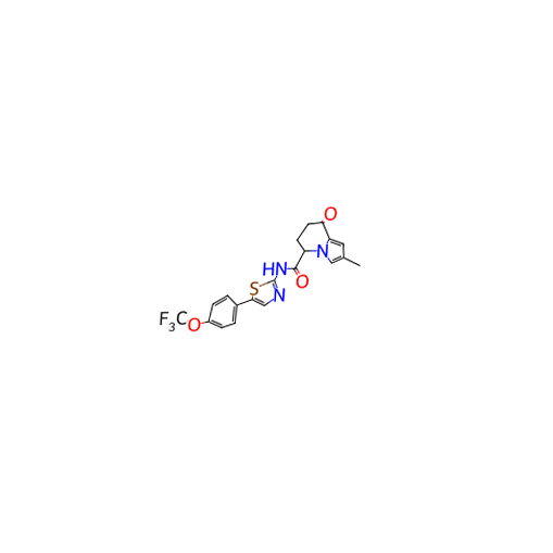 Cc1cc2n(c1)C(C(=O)Nc1ncc(-c3ccc(OC(F)(F)F)cc3)s1)CCC2=O